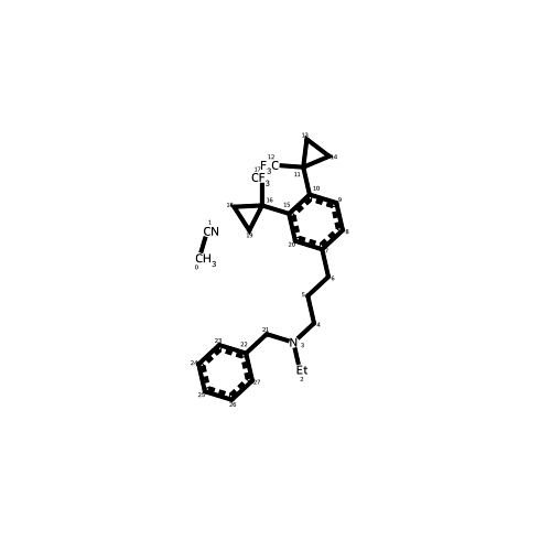 CC#N.CCN(CCCc1ccc(C2(C(F)(F)F)CC2)c(C2(C(F)(F)F)CC2)c1)Cc1ccccc1